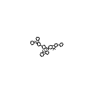 CC1(C)c2cc(-c3ccccc3)ccc2-c2ccc(N(c3ccc(-c4ccc5c(c4)c4ccccc4n5-c4ccccc4)cc3)c3cccc4c3oc3ccccc34)cc21